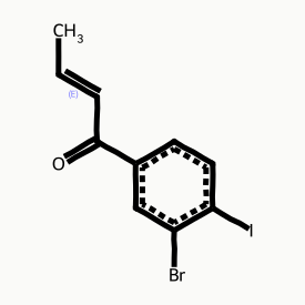 C/C=C/C(=O)c1ccc(I)c(Br)c1